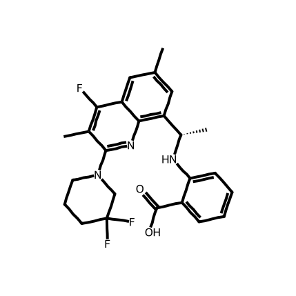 Cc1cc([C@H](C)Nc2ccccc2C(=O)O)c2nc(N3CCCC(F)(F)C3)c(C)c(F)c2c1